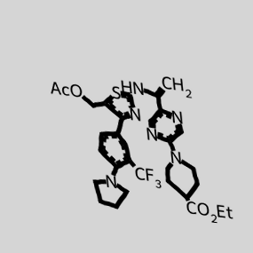 C=C(Nc1nc(-c2ccc(N3CCCC3)c(C(F)(F)F)c2)c(COC(C)=O)s1)c1cnc(N2CCC(C(=O)OCC)CC2)cn1